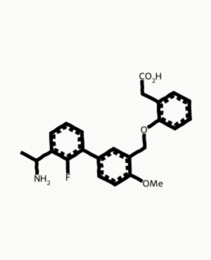 COc1ccc(-c2cccc(C(C)N)c2F)cc1COc1ccccc1CC(=O)O